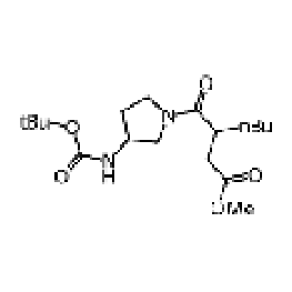 CCCCC(CC(=O)OC)C(=O)N1CCC(NC(=O)OC(C)(C)C)C1